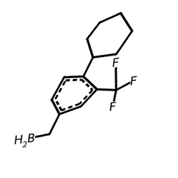 BCc1ccc(C2CCCCC2)c(C(F)(F)F)c1